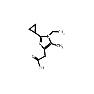 CCn1c(C2CC2)nc(CC(=O)O)c1C